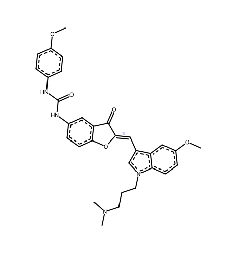 COc1ccc(NC(=O)Nc2ccc3c(c2)C(=O)/C(=C/c2cn(CCCN(C)C)c4ccc(OC)cc24)O3)cc1